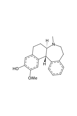 COc1cc2c(cc1O)CC[C@@H]1[C@@H]2c2ccccc2CCN1C